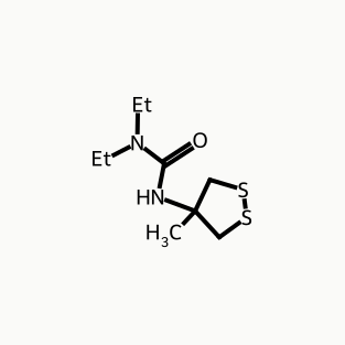 CCN(CC)C(=O)NC1(C)CSSC1